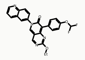 CCOc1ncc2cn(-c3ccc4ncccc4c3)c(=O)c(-c3ccc(OC(F)F)cc3)c2n1